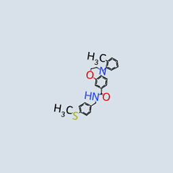 CSc1ccc(CNC(=O)c2ccc3c(c2)OCCN3c2ccccc2C)cc1